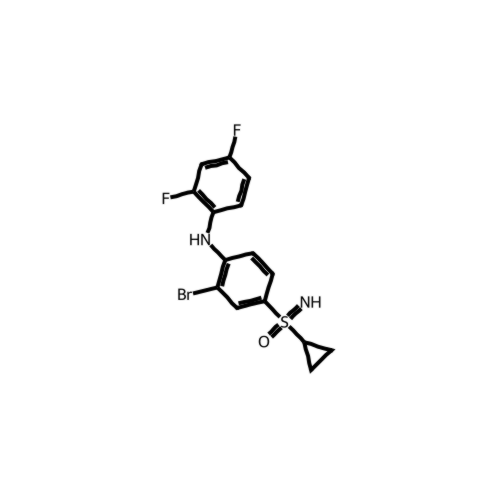 N=S(=O)(c1ccc(Nc2ccc(F)cc2F)c(Br)c1)C1CC1